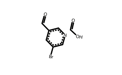 O=CO.O=Cc1cncc(Br)c1